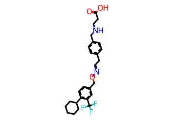 O=C(O)CCNCc1ccc(CC=NOCc2ccc(C3CCCCC3)c(C(F)(F)F)c2)cc1